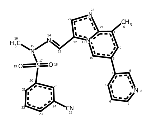 Cc1cc(-c2cccnc2)cn2c(C=NN(C)S(=O)(=O)c3cccc(C#N)c3)cnc12